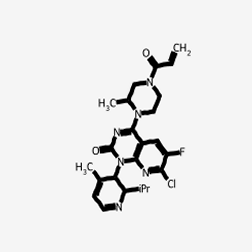 C=CC(=O)N1CCN(c2nc(=O)n(C3C(C)=CC=NC3C(C)C)c3nc(Cl)c(F)cc23)C(C)C1